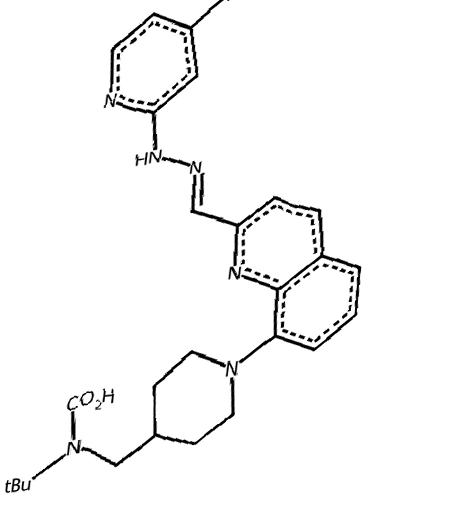 CC(C)(C)N(CC1CCN(c2cccc3ccc(C=NNc4cc(I)ccn4)nc23)CC1)C(=O)O